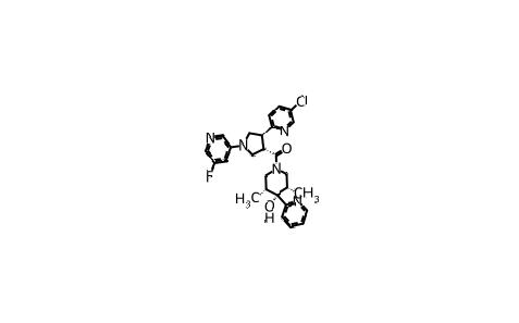 C[C@@H]1CN(C(=O)[C@@H]2CN(c3cncc(F)c3)C[C@H]2c2ccc(Cl)cn2)C[C@H](C)[C@@]1(O)c1ccccn1